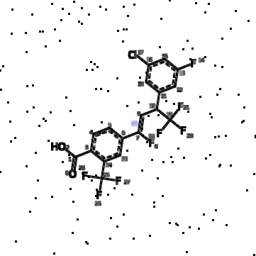 O=C(O)c1ccc(/C(F)=C/C(c2cc(F)cc(Cl)c2)C(F)(F)F)cc1C(F)(F)F